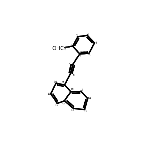 O=Cc1ccccc1C#Cc1cccc2ccccc12